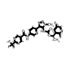 C[C@@H](OC(=O)Nc1c(-c2ccc(NC(=O)c3cnc(C(F)(F)F)nc3)cn2)nnn1C)c1cc(F)cnc1F